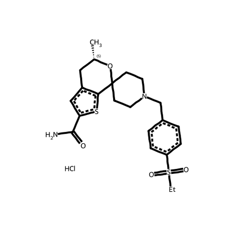 CCS(=O)(=O)c1ccc(CN2CCC3(CC2)O[C@@H](C)Cc2cc(C(N)=O)sc23)cc1.Cl